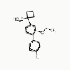 O=C(O)C1(c2ccc(-c3ccc(Cl)cc3)c(OCC(F)(F)F)c2)CCC1